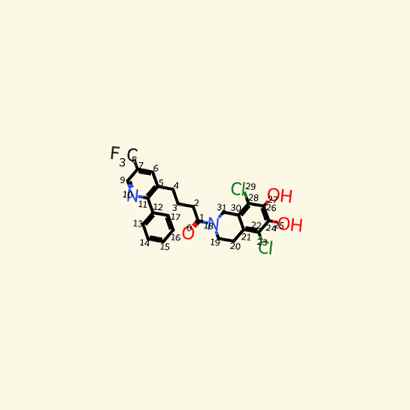 O=C(CCCc1cc(C(F)(F)F)cnc1-c1ccccc1)N1CCc2c(Cl)c(O)c(O)c(Cl)c2C1